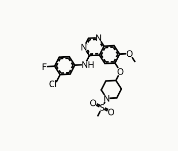 COc1cc2ncnc(Nc3ccc(F)c(Cl)c3)c2cc1OC1CCN(S(C)(=O)=O)CC1